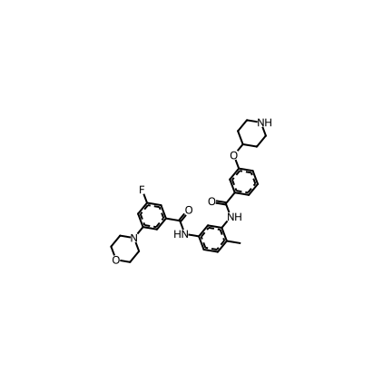 Cc1ccc(NC(=O)c2cc(F)cc(N3CCOCC3)c2)cc1NC(=O)c1cccc(OC2CCNCC2)c1